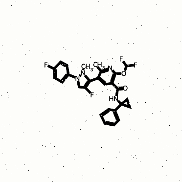 Cc1nc(OC(F)F)c(C(=O)NC2(c3ccccc3)CC2)cc1C1=C(F)CN(c2ccc(F)cc2)N1C